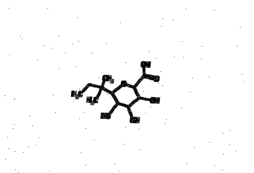 CCC(C)(C)C1OC(C(=O)O)C(O)C(O)C1O